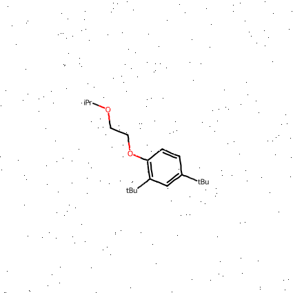 CC(C)OCCOc1ccc(C(C)(C)C)cc1C(C)(C)C